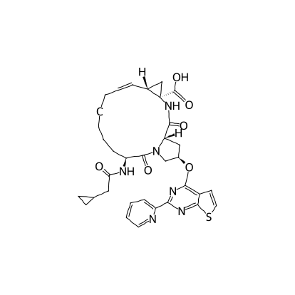 O=C(CC1CC1)N[C@H]1CCCCC/C=C\[C@@H]2C[C@@]2(C(=O)O)NC(=O)[C@@H]2C[C@@H](Oc3nc(-c4ccccn4)nc4sccc34)CN2C1=O